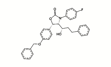 O=C1O[C@@H](c2ccc(OCc3ccccc3)cc2)[C@@H]([C@@H](O)CCc2ccccc2)N1c1ccc(F)cc1